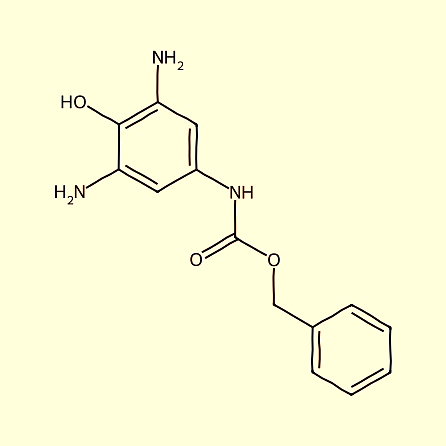 Nc1cc(NC(=O)OCc2ccccc2)cc(N)c1O